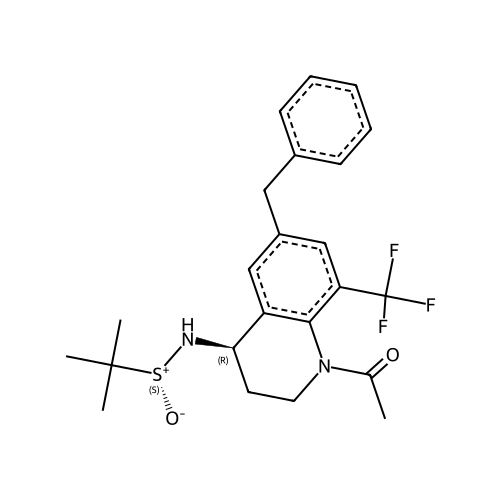 CC(=O)N1CC[C@@H](N[S@+]([O-])C(C)(C)C)c2cc(Cc3ccccc3)cc(C(F)(F)F)c21